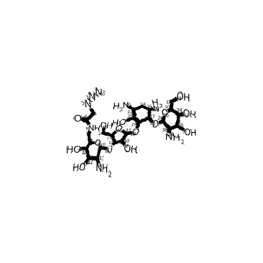 [N-]=[N+]=NCC(=O)NCC1OC(OC2C(CO)OC(OC3C(O)C(N)CC(N)C3OC3OC(CO)C(O)C(O)C3N)C2O)C(N)C(O)C1O